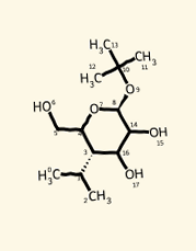 CC(C)[C@@H]1C(CO)O[C@@H](OC(C)(C)C)C(O)C1O